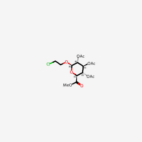 COC(=O)[C@H]1O[C@@H](OCCCl)[C@H](OC(C)=O)[C@@H](OC(C)=O)[C@@H]1OC(C)=O